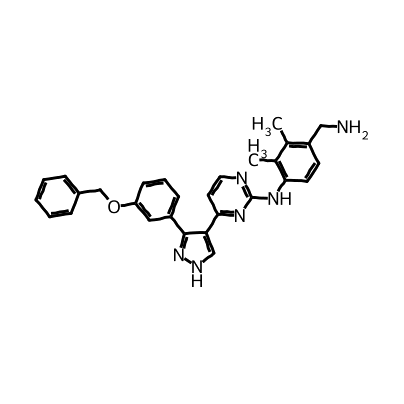 Cc1c(CN)ccc(Nc2nccc(-c3c[nH]nc3-c3cccc(OCc4ccccc4)c3)n2)c1C